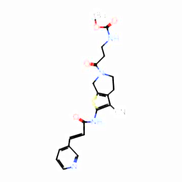 CC(C)(C)OC(=O)NCCC(=O)N1CCc2c(sc(NC(=O)C=Cc3cccnc3)c2C#N)C1